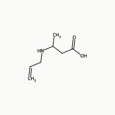 C=CCNC(C)CC(=O)O